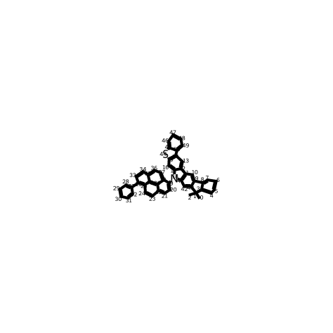 CC1(C)c2ccccc2-c2cc3c4cc5c(cc4n(-c4ccc6ccc7c(-c8ccccc8)ccc8ccc4c6c87)c3cc21)sc1ccccc15